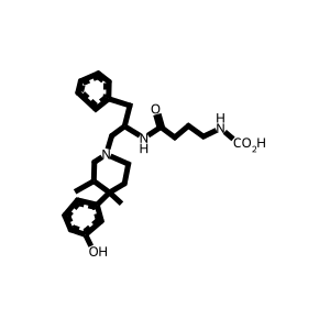 CC1CN(CC(Cc2ccccc2)NC(=O)CCCNC(=O)O)CCC1(C)c1cccc(O)c1